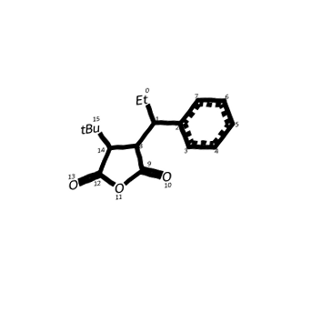 CCC(c1ccccc1)C1C(=O)OC(=O)C1C(C)(C)C